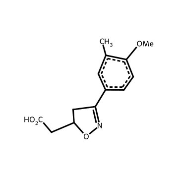 COc1ccc(C2=NOC(CC(=O)O)C2)cc1C